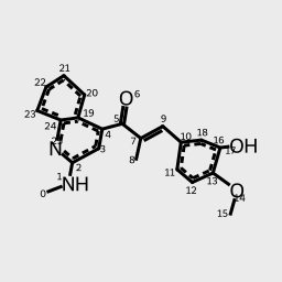 CNc1cc(C(=O)/C(C)=C/c2ccc(OC)c(O)c2)c2ccccc2n1